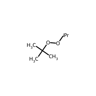 CC(C)OOC(C)(C)C